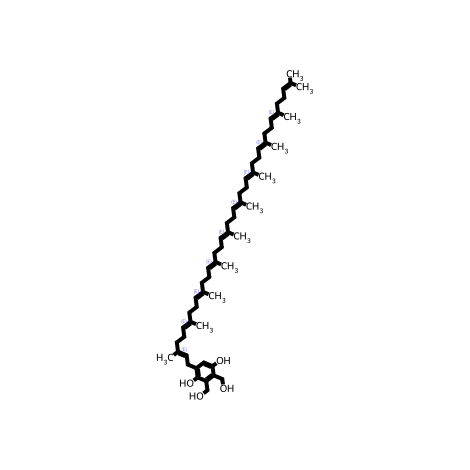 CC(C)=CCC/C(C)=C/CC/C(C)=C/CC/C(C)=C/CC/C(C)=C/CC/C(C)=C/CC/C(C)=C/CC/C(C)=C/CC/C(C)=C/CC/C(C)=C/Cc1cc(O)c(CO)c(CO)c1O